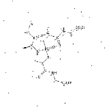 CCOC(=O)CNC(=O)C(C)SP(=O)(N[C@@H](C)C(=O)OC(C)C)SC(C)C(=O)NCC(=O)OCC